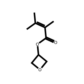 CC(C)=C(C)C(=O)OC1COC1